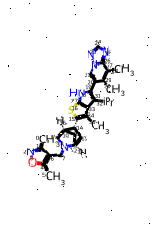 Cc1noc(C)c1CN1C[C@@H]2C[C@H]1C[C@H]2c1sc2[nH]c(-c3cn4ncnc4c(C)c3C)c(C(C)C)c2c1C